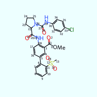 COC(=O)c1cc(-c2ccccc2S(C)(=O)=O)ccc1NC(=O)C1CCCN1C(=O)Nc1ccc(Cl)cc1